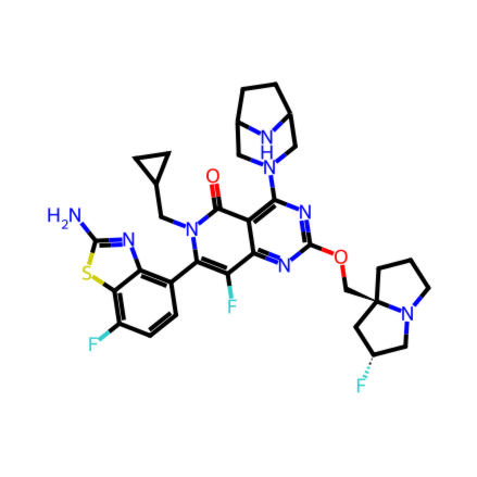 Nc1nc2c(-c3c(F)c4nc(OC[C@@]56CCCN5C[C@H](F)C6)nc(N5CC6CCC(C5)N6)c4c(=O)n3CC3CC3)ccc(F)c2s1